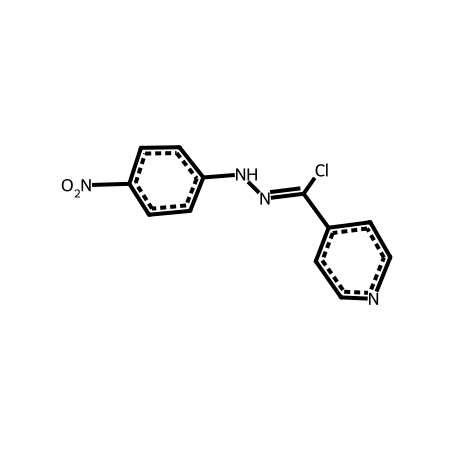 O=[N+]([O-])c1ccc(NN=C(Cl)c2ccncc2)cc1